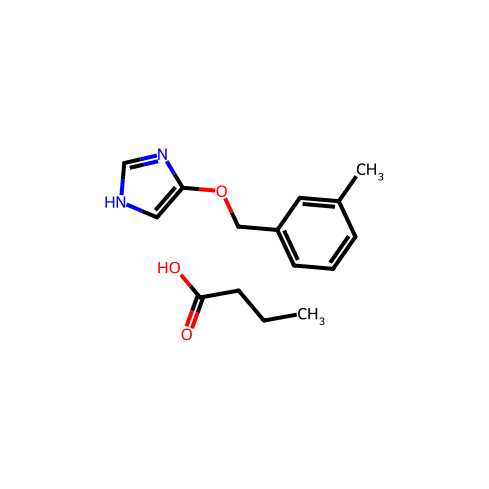 CCCC(=O)O.Cc1cccc(COc2c[nH]cn2)c1